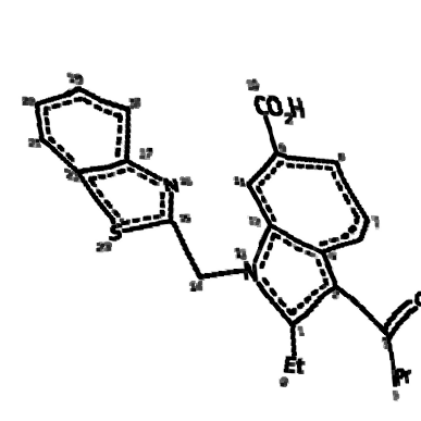 CCc1c(C(=O)C(C)C)c2ccc(C(=O)O)cc2n1Cc1nc2ccccc2s1